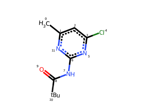 Cc1cc(Cl)nc(NC(=O)C(C)(C)C)n1